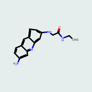 Nc1ccc2cc3ccc(NCC(=O)NCC=O)cc3nc2c1